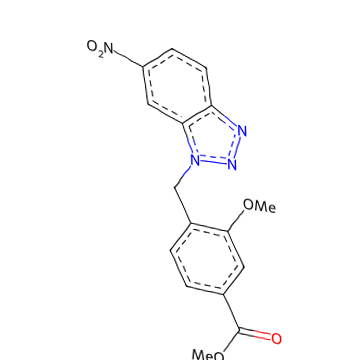 COC(=O)c1ccc(Cn2nnc3ccc([N+](=O)[O-])cc32)c(OC)c1